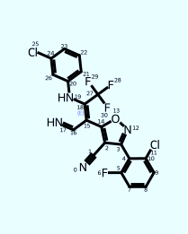 N#Cc1c(-c2c(F)cccc2Cl)noc1/C(C=N)=C(/Nc1cccc(Cl)c1)C(F)(F)F